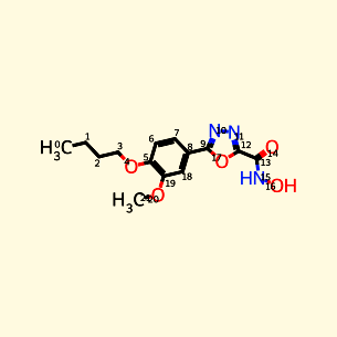 CCCCOc1ccc(-c2nnc(C(=O)NO)o2)cc1OC